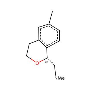 CNC[C@@H]1OCCc2cc(C)ccc21